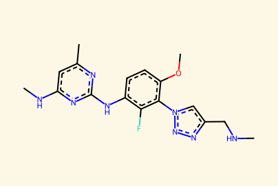 CNCc1cn(-c2c(OC)ccc(Nc3nc(C)cc(NC)n3)c2F)nn1